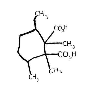 CC1CCC(C)C(C)(C(=O)O)C1(C)C(=O)O